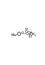 CCC(C)(C)CC(O)COc1ccc(C(C)(C)C)cc1